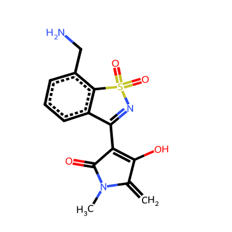 C=C1C(O)=C(C2=NS(=O)(=O)c3c(CN)cccc32)C(=O)N1C